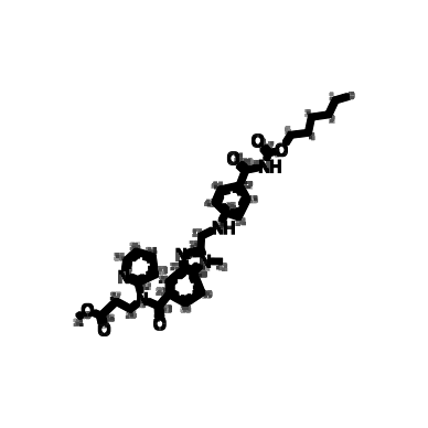 CCCCCCOC(=O)NC(=O)c1ccc(NCc2nc3cc(C(=O)N(CCC(=O)OC)c4ccccn4)ccc3n2C)cc1